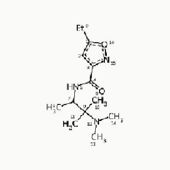 CCc1cc(C(=O)NC(C)C(C)(C)N(C)C)no1